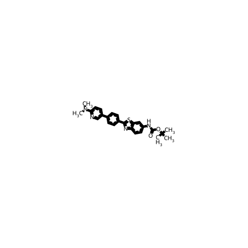 CN(C)c1ccc(-c2ccc(-c3nc4ccc(NC(=O)OC(C)(C)C)cc4s3)cc2)cn1